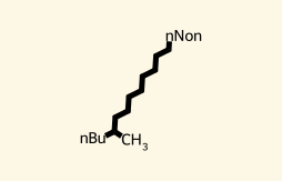 CCCCCCCCCCCCCCCCCC(C)CCCC